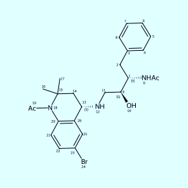 CC(=O)N[C@@H](Cc1ccccc1)[C@@H](O)CN[C@H]1CC(C)(C)N(C(C)=O)c2ccc(Br)cc21